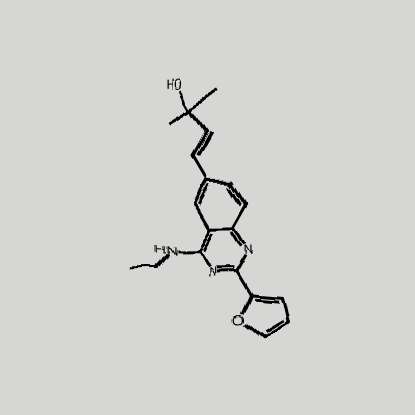 CCNc1nc(-c2ccco2)nc2ccc(/C=C/C(C)(C)O)cc12